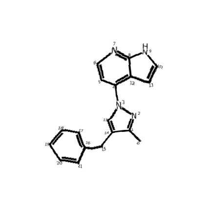 Cc1nn(-c2ccnc3[nH]ccc23)cc1Cc1ccccc1